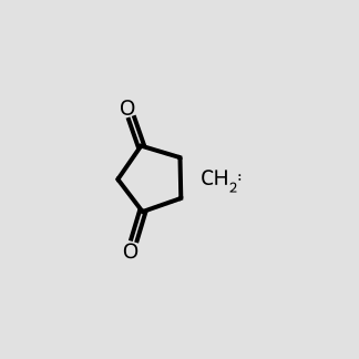 O=C1CCC(=O)C1.[CH2]